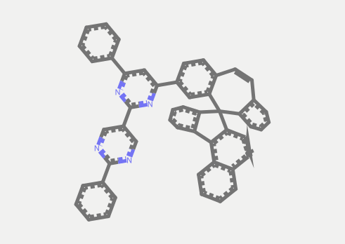 C1=Cc2ccc(-c3cc(-c4ccccc4)nc(-c4cnc(-c5ccccc5)nc4)n3)cc2C2(c3ccccc31)c1ccccc1-c1c2c2ccccc2c2ccccc12